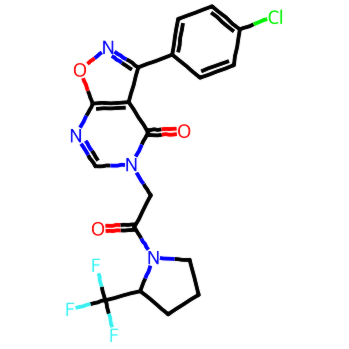 O=C(Cn1cnc2onc(-c3ccc(Cl)cc3)c2c1=O)N1CCCC1C(F)(F)F